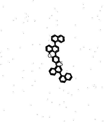 C1=Cc2cccc(-c3cc4sc5cc6c(cc5c4c4ccccc34)Oc3cccc4c(-c5cccc7ccccc57)ccc-6c34)c2CC1